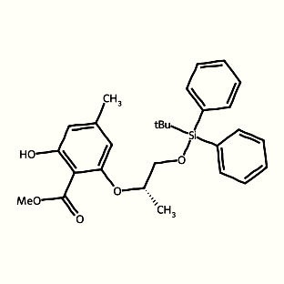 COC(=O)c1c(O)cc(C)cc1O[C@@H](C)CO[Si](c1ccccc1)(c1ccccc1)C(C)(C)C